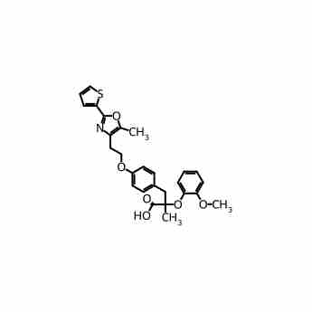 COc1ccccc1OC(C)(Cc1ccc(OCCc2nc(-c3cccs3)oc2C)cc1)C(=O)O